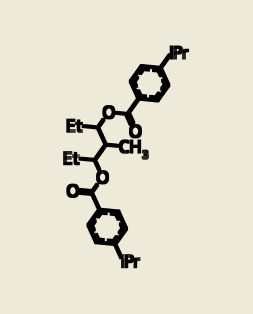 CCC(OC(=O)c1ccc(C(C)C)cc1)C(C)C(CC)OC(=O)c1ccc(C(C)C)cc1